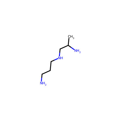 CC(N)CNCCCN